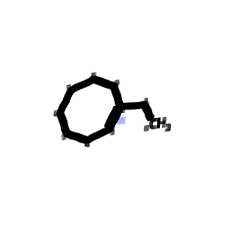 C[CH]/C1=C/CCCCCC1